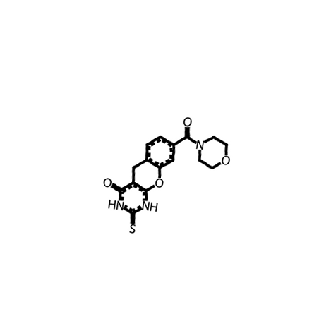 O=C(c1ccc2c(c1)Oc1[nH]c(=S)[nH]c(=O)c1C2)N1CCOCC1